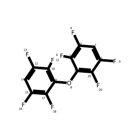 Fc1cc(F)c(F)c(Oc2c(F)c(F)cc(F)c2F)c1F